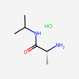 CC(C)NC(=O)[C@@H](C)N.Cl